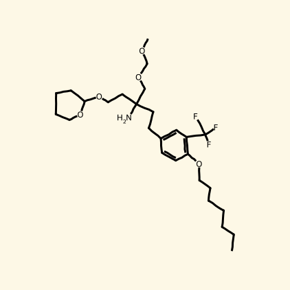 CCCCCCCOc1ccc(CCC(N)(CCOC2CCCCO2)COCOC)cc1C(F)(F)F